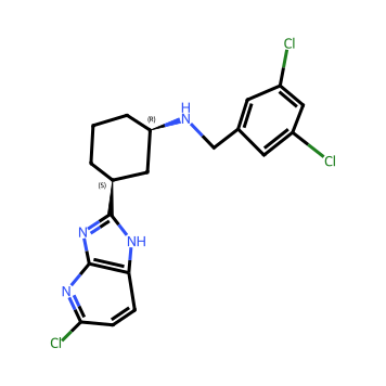 Clc1cc(Cl)cc(CN[C@@H]2CCC[C@H](c3nc4nc(Cl)ccc4[nH]3)C2)c1